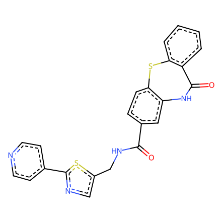 O=C(NCc1cnc(-c2ccncc2)s1)c1ccc2c(c1)NC(=O)c1ccccc1S2